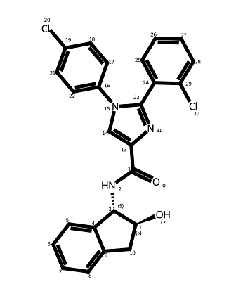 O=C(N[C@H]1c2ccccc2C[C@@H]1O)c1cn(-c2ccc(Cl)cc2)c(-c2ccccc2Cl)n1